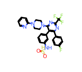 O=[SH](=O)Nc1cccc(-c2c(-c3ccc(F)cc3)nc(C(F)(F)F)nc2N2CCN(c3ccccn3)CC2)c1